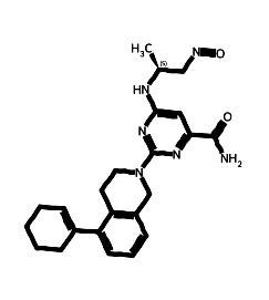 C[C@@H](CN=O)Nc1cc(C(N)=O)nc(N2CCc3c(cccc3C3=CCCCC3)C2)n1